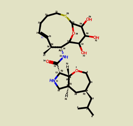 CC(C)C[C@@H]1CCO[C@@H]2[C@H](CN[C@@H]2C(=O)N[C@H]2C3OC(SCCC/C=C/[C@@H]2C)C(O)C(O)C3O)C1